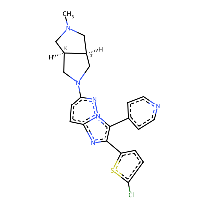 CN1C[C@@H]2CN(c3ccc4nc(-c5ccc(Cl)s5)c(-c5ccncc5)n4n3)C[C@@H]2C1